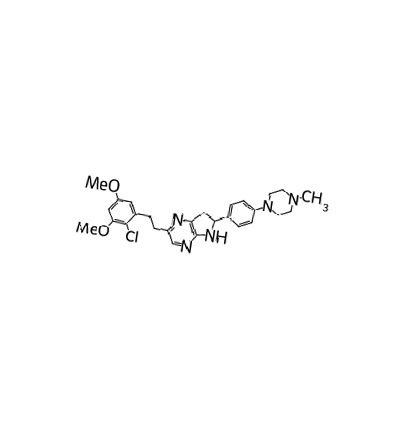 COc1cc(CCc2cnc3c(n2)CC(c2ccc(N4CCN(C)CC4)cc2)N3)c(Cl)c(OC)c1